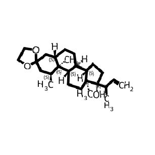 C=CC(C)[C@]1(O)CC[C@H]2[C@@H]3CC[C@H]4CC5(C[C@H](C)[C@]4(C)[C@H]3CC[C@@]21C)OCCO5